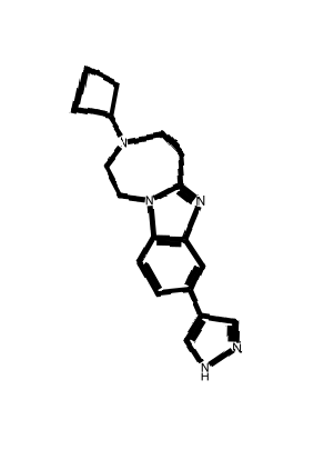 c1cc2c(cc1-c1cn[nH]c1)nc1n2CCN(C2CCC2)CC1